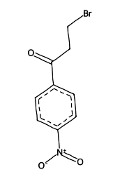 O=C(CCBr)c1ccc([N+](=O)[O-])cc1